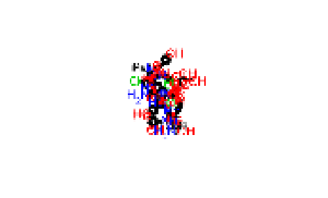 CC(C)C[C@H](C(=O)N[C@H]1C(=O)N[C@@H](CC(N)=O)C(=O)N[C@H]2C(=O)N[C@H]3C(=O)N[C@H](C(=O)N[C@H](C(=O)O)c4cc(O)cc(O)c4-c4cc3ccc4O)[C@H](O[C@H]3C[C@](C)(N)[C@@H](O)[C@H](C)O3)c3ccc(c(Cl)c3)Oc3cc2cc(c3O[C@@H]2O[C@H](CO)[C@@H](O)[C@H](O)[C@H]2O[C@H]2C[C@](C)(NCc3ccc(-c4ccc(Cl)cc4)cc3)[C@@H](O)[C@H](C)O2)Oc2ccc(cc2Cl)[C@H]1O)N(C)C(=O)OCc1ccc(O)cc1